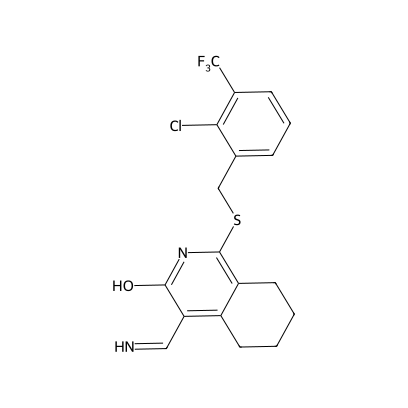 N=Cc1c(O)nc(SCc2cccc(C(F)(F)F)c2Cl)c2c1CCCC2